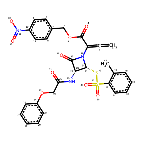 C=C=C(C(=O)OCc1ccc([N+](=O)[O-])cc1)N1C(=O)[C@@H](NC(=O)COc2ccccc2)[C@H]1SS(=O)(=O)c1ccccc1C